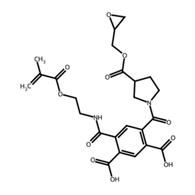 C=C(C)C(=O)OCCNC(=O)c1cc(C(=O)N2CCC(C(=O)OCC3CO3)C2)c(C(=O)O)cc1C(=O)O